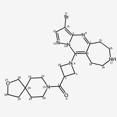 O=C(C1CN(c2c3c(nc4c(Br)cnn24)CCNCC3)C1)N1CCC2(CCOC2)CC1